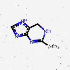 [AsH2]C1=Nc2nc[nH]c2CN1